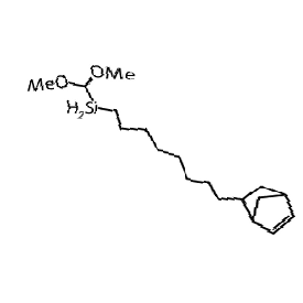 COC(OC)[SiH2]CCCCCCCCC1CC2C=CC1C2